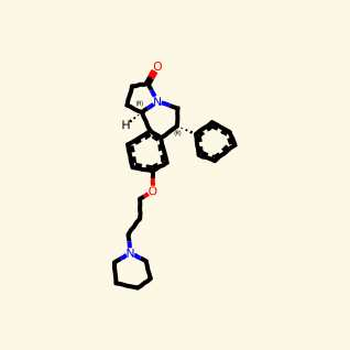 O=C1CC[C@@H]2c3ccc(OCCCN4CCCCC4)cc3[C@@H](c3ccccc3)CN12